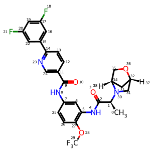 C[C@@H](C(=O)Nc1cc(NC(=O)c2ccc(-c3cc(F)cc(F)c3)nc2)ccc1OC(F)(F)F)N1C[C@@H]2C[C@H]1CO2